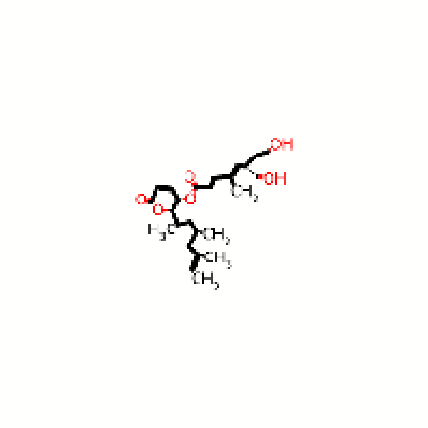 C/C=C(\C)C[C@H](C)C[C@H](C)[C@H]1OC(=O)C=C[C@H]1OC(=O)/C=C/C(C)=C/[C@@H](CO)CCO